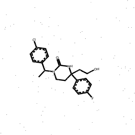 CC(c1ccc(Cl)cc1)N1CCC(CCO)(c2ccc(F)cc2)NC1=O